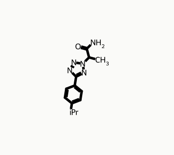 CC(C)c1ccc(-c2nnn(C(C)C(N)=O)n2)cc1